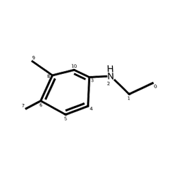 CCNc1ccc(C)c(C)c1